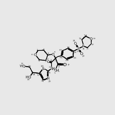 O=C(O)C(OC1CCOCC1)(C(=O)Nc1ncc(C(O)CO)s1)c1ccc(S(=O)(=O)N2CCOCC2)cc1